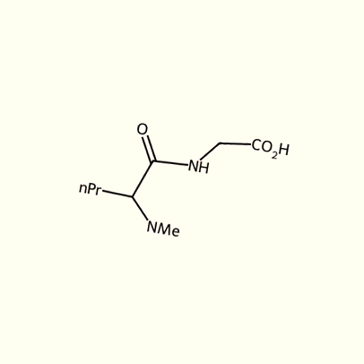 CCCC(NC)C(=O)NCC(=O)O